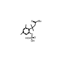 Cc1cc(C)c(C(C)(C)CC(=O)C(C)(C)C)c(OP(=O)(O)O)c1